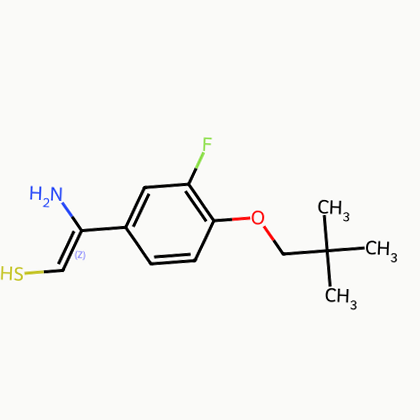 CC(C)(C)COc1ccc(/C(N)=C/S)cc1F